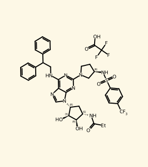 CCC(=O)N[C@H]1C[C@@H](n2cnc3c(NCC(c4ccccc4)c4ccccc4)nc(N4CC[C@@H](NS(=O)(=O)c5ccc(C(F)(F)F)cc5)C4)nc32)[C@H](O)[C@@H]1O.O=C(O)C(F)(F)F